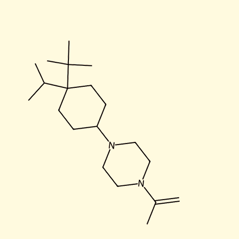 C=C(C)N1CCN(C2CCC(C(C)C)(C(C)(C)C)CC2)CC1